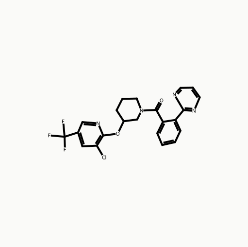 O=C(c1ccccc1-c1ncccn1)N1CCCC(Oc2ncc(C(F)(F)F)cc2Cl)C1